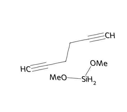 C#CCCC#C.CO[SiH2]OC